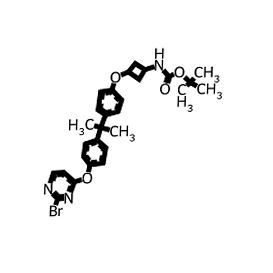 CC(C)(C)OC(=O)NC1CC(Oc2ccc(C(C)(C)c3ccc(Oc4ccnc(Br)n4)cc3)cc2)C1